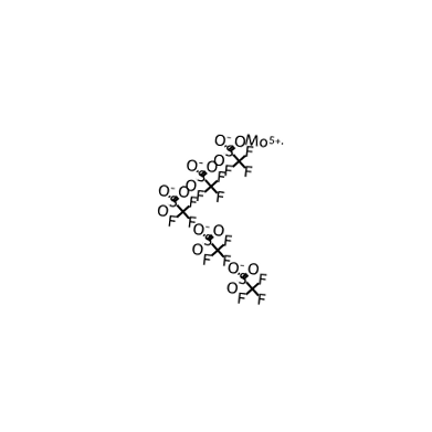 O=S(=O)([O-])C(F)(F)F.O=S(=O)([O-])C(F)(F)F.O=S(=O)([O-])C(F)(F)F.O=S(=O)([O-])C(F)(F)F.O=S(=O)([O-])C(F)(F)F.[Mo+5]